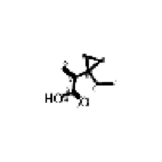 C=C(C(=O)O)C1(CC)CC1